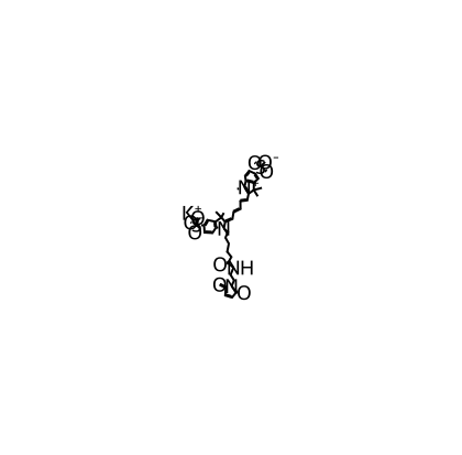 C[N+]1=C(/C=C/C=C/C=C2/N(CCCCCC(=O)NCCN3C(=O)C=CC3=O)c3ccc(S(=O)(=O)[O-])cc3C2(C)C)C(C)(C)c2cc(S(=O)(=O)[O-])ccc21.[K+]